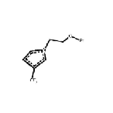 CC(C)OCCn1ccc(C(F)(F)F)c1